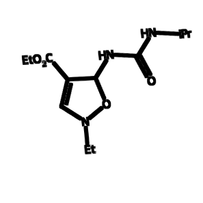 CCOC(=O)C1=CN(CC)OC1NC(=O)NC(C)C